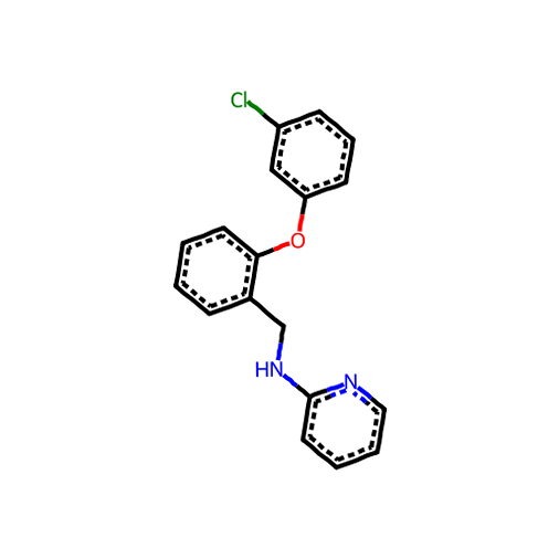 Clc1cccc(Oc2ccccc2CNc2ccccn2)c1